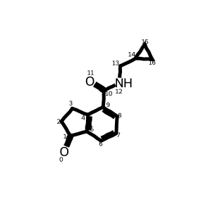 O=C1CCc2c1cccc2C(=O)NCC1CC1